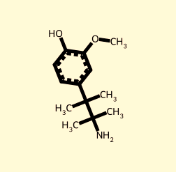 COc1cc(C(C)(C)C(C)(C)N)ccc1O